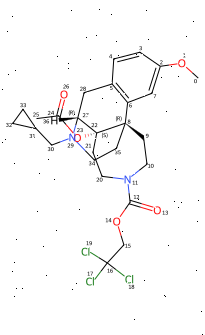 COc1ccc2c(c1)[C@@]13CCN(C(=O)OCC(Cl)(Cl)Cl)CC[C@@]1(OC(C)=O)[C@@H](C2)N(CC1CC1)CC3